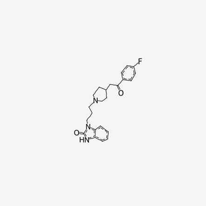 O=C(CC1CCN(CCCn2c(=O)[nH]c3ccccc32)CC1)c1ccc(F)cc1